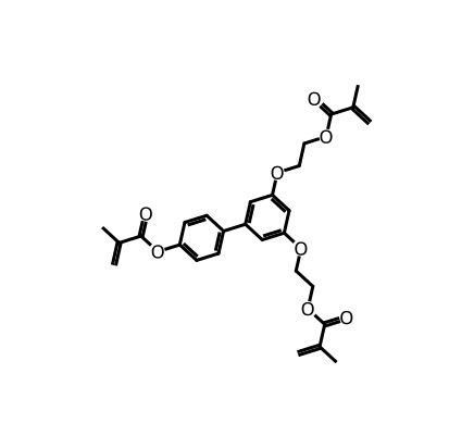 C=C(C)C(=O)OCCOc1cc(OCCOC(=O)C(=C)C)cc(-c2ccc(OC(=O)C(=C)C)cc2)c1